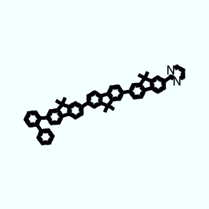 CC1(C)c2cc(-c3ccc4c(c3)C(C)(C)c3cc(-c5ncccn5)ccc3-4)ccc2-c2ccc(-c3ccc4c(c3)C(C)(C)c3cc(-c5ccccc5-c5ccccc5)ccc3-4)cc21